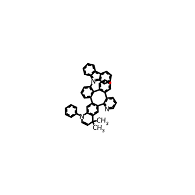 CC1(C)C=CN(c2ccccc2)c2cc3c(cc21)-c1ncccc1-c1ccccc1-c1c-3cccc1-n1c2ccccc2c2ccccc21